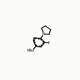 CC(C)(C)c1ccc(N2CCCC2)c(F)c1